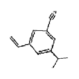 C=[C]c1cc(C#N)cc(C(C)C)c1